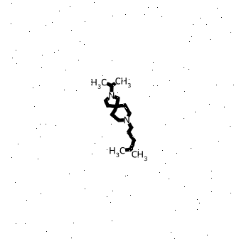 CC(C)CCCN1CCC2(CC1)CCN(C(C)C)C2